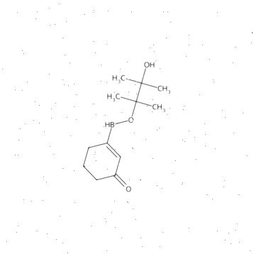 CC(C)(O)C(C)(C)OBC1=CC(=O)CCC1